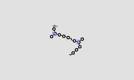 C=Cc1ccc(-c2ccc(-c3cccc(-c4cc(-c5ccccc5)nc(-c5ccc(/C=C/c6ccc(-c7ccc(-c8ccc(-c9cc(-c%10ccc(C(C)(C)C)cc%10)nc(-c%10ccccc%10)n9)cc8)cc7)cc6)cc5)n4)c3)cc2)cc1